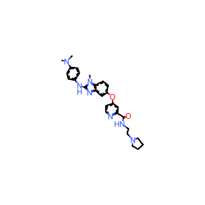 CN(C)c1ccc(Nc2nc3cc(Oc4ccnc(C(=O)NCCN5CCCC5)c4)ccc3n2C)cc1